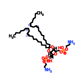 CCCCC/C=C\C/C=C\CCCCCCCCC1(CCCCCCCC/C=C\C/C=C\CCCCC)O[C@@H]2[C@@H](COP(=O)(O)OCCN)OC3(C[C@@H]3OP(=O)(O)OCCN)[C@H]2O1